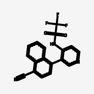 N#Cc1ccc(-c2cnccc2NS(=O)(=O)C(F)(F)F)c2ccccc12